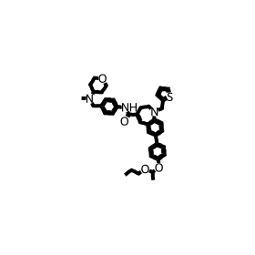 CCCOC(C)Oc1ccc(-c2ccc3c(c2)C=C(C(=O)Nc2ccc(CN(C)C4CCOCC4)cc2)CCN3Cc2cccs2)cc1